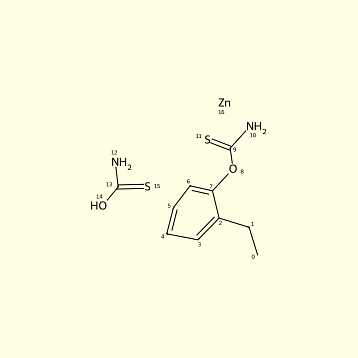 CCc1ccccc1OC(N)=S.NC(O)=S.[Zn]